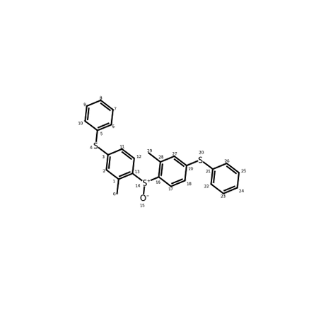 Cc1cc(Sc2ccccc2)ccc1[S+]([O-])c1ccc(Sc2ccccc2)cc1C